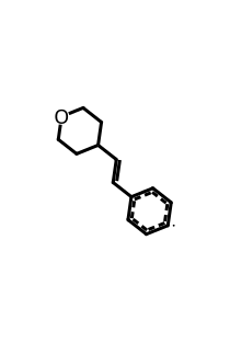 [c]1ccc(/C=C/C2CCOCC2)cc1